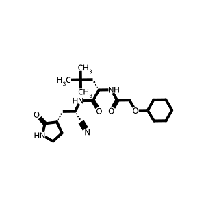 CC(C)(C)C[C@H](NC(=O)COC1CCCCC1)C(=O)N[C@H](C#N)C[C@@H]1CCNC1=O